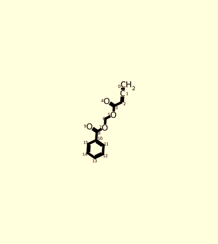 C=C=CC(=O)OCOC(=O)c1ccccc1